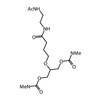 CNC(=O)OCC(COC(=O)NC)OCCCC(=O)NCCNC(C)=O